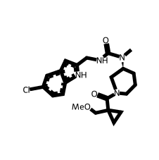 COCC1(C(=O)N2CCC[C@@H](N(C)C(=O)NCc3cc4cc(Cl)ccc4[nH]3)C2)CC1